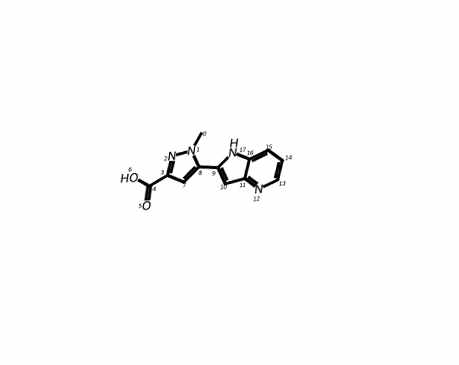 Cn1nc(C(=O)O)cc1-c1cc2ncccc2[nH]1